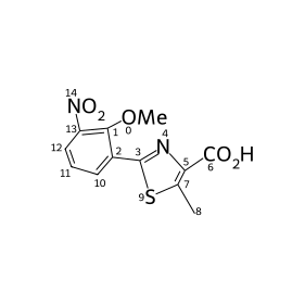 COc1c(-c2nc(C(=O)O)c(C)s2)cccc1[N+](=O)[O-]